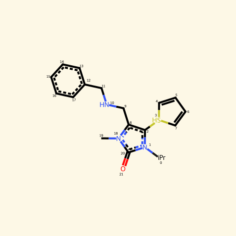 CC(C)n1c([SH]2C=CC=C2)c(CNCc2ccccc2)n(C)c1=O